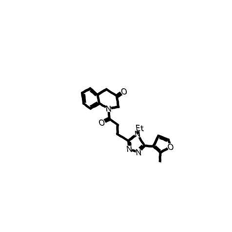 CCn1c(CCC(=O)N2CC(=O)Cc3ccccc32)nnc1-c1ccoc1C